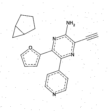 C#Cc1nc(-c2ccncc2)c(-c2ccco2)nc1N.C1CC2CC2C1